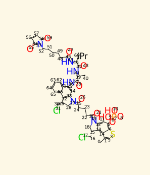 Cc1csc2c(OP(=O)(O)O)cc3c(c12)[C@H](CCl)CN3C(=O)CCCC(=O)N1C[C@@H](CCl)c2c1cc(NC(=O)[C@H](C)NC(=O)[C@@H](NC(=O)CCCCCN1C(=O)C=CC1=O)C(C)C)c1ccccc21